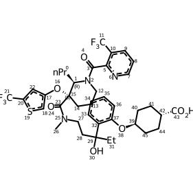 CCC[C@H]1N(C(=O)c2ncccc2C(F)(F)F)CCC[C@@]1(Oc1csc(C(F)(F)F)c1)C(=O)N(C)CCC(O)(CC)c1ccccc1O[C@H]1CC[C@H](C(=O)O)CC1